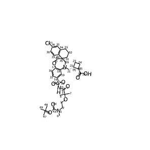 CN(CCOC(C)(C)C(=O)NS(=O)(=O)c1ccc2c(c1)N(C[C@@H]1CC[C@H]1C(=O)O)C[C@@]1(CCCc3cc(Cl)ccc31)CO2)C(=O)OC(C)(C)C